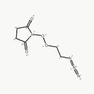 [N-]=[N+]=NCCOON1C(=O)CCC1=O